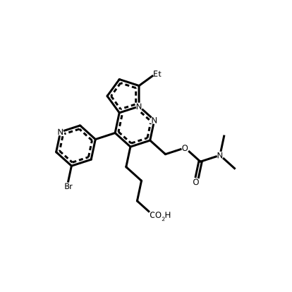 CCc1ccc2c(-c3cncc(Br)c3)c(CCCC(=O)O)c(COC(=O)N(C)C)nn12